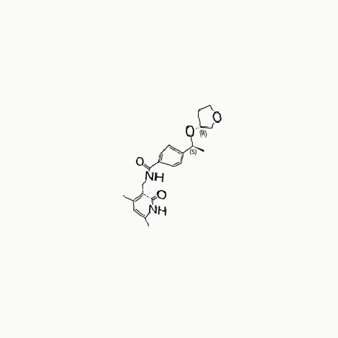 Cc1cc(C)c(CNC(=O)c2ccc([C@H](C)O[C@@H]3CCOC3)cc2)c(=O)[nH]1